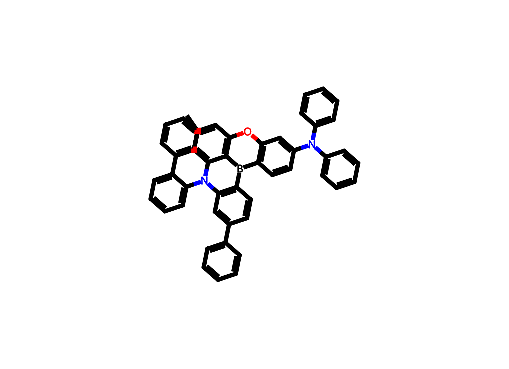 Cc1cc2c3c(c1)N(c1ccccc1-c1ccccc1)c1cc(-c4ccccc4)ccc1B3c1ccc(N(c3ccccc3)c3ccccc3)cc1O2